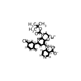 CC(C)(C)OC(=O)N1CCOc2c(Nc3ccncc3C(=O)[O-])cc(-c3cc(Cl)ccc3F)nc21.[Li+]